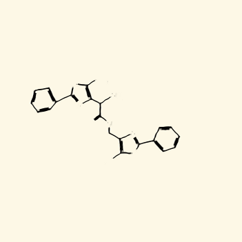 Cc1oc(-c2ccccc2)nc1CNC(=O)C(N)c1nc(-c2ccccc2)oc1C